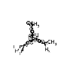 CCCCC(CC)COc1ccc(NC(=O)c2cc(C(=O)Nc3ccc(OCC(CC)CCCC)cc3)cc(C(=O)Nc3ccc(OCC(CC)CCCC)cc3)c2)cc1